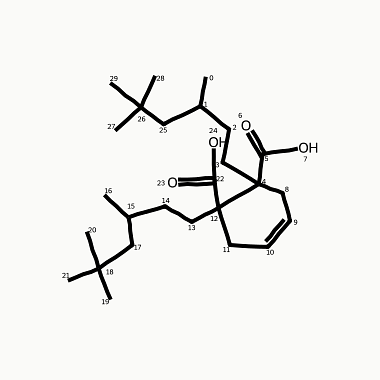 CC(CCC1(C(=O)O)CC=CCC1(CCC(C)CC(C)(C)C)C(=O)O)CC(C)(C)C